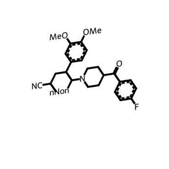 CCCCCCCCCC(C(CC(C)C#N)c1ccc(OC)c(OC)c1)N1CCC(C(=O)c2ccc(F)cc2)CC1